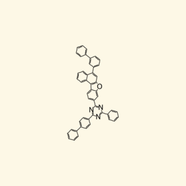 c1ccc(-c2ccc(-c3nc(-c4ccccc4)nc(-c4ccc5c(c4)oc4cc(-c6cccc(-c7ccccc7)c6)c6ccccc6c45)n3)cc2)cc1